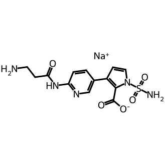 NCCC(=O)Nc1ccc(-c2ccn(S(N)(=O)=O)c2C(=O)[O-])cn1.[Na+]